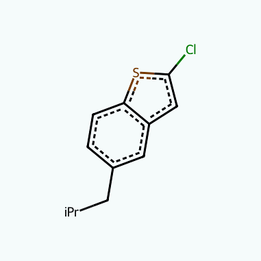 CC(C)Cc1ccc2sc(Cl)cc2c1